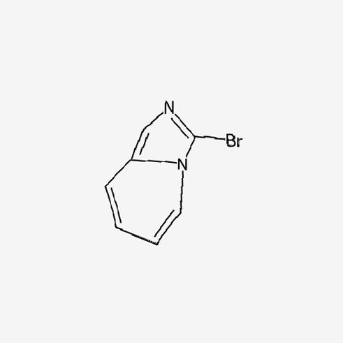 Brc1ncc2ccccn12